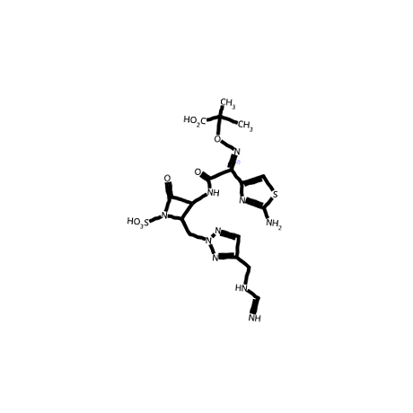 CC(C)(O/N=C(\C(=O)NC1C(=O)N(S(=O)(=O)O)C1Cn1ncc(CNC=N)n1)c1csc(N)n1)C(=O)O